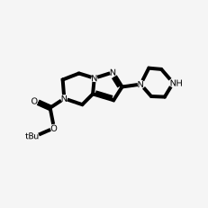 CC(C)(C)OC(=O)N1CCn2nc(N3CCNCC3)cc2C1